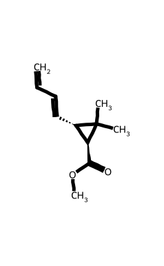 C=CC=C[C@H]1[C@H](C(=O)OC)C1(C)C